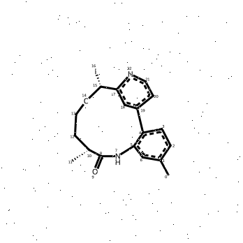 Cc1ccc2c(c1)NC(=O)[C@H](C)CCC[C@H](I)c1cc-2ccn1